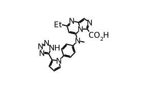 CCc1cc(N(C)c2ccc(-n3cccc3-c3nnn[nH]3)cc2)n2c(C(=O)O)ncc2n1